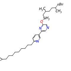 CCCCC(C)CCC(C)C[SiH2]Oc1cncc(-c2ccc(CCCCCCCCCC3CC3)nc2)n1